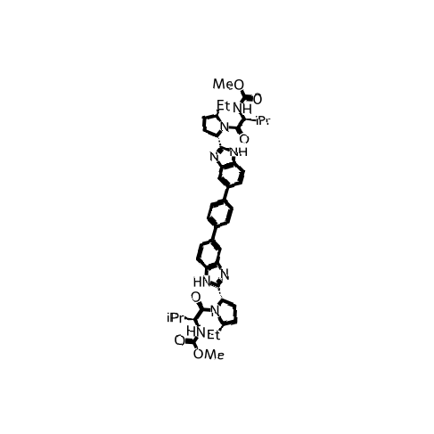 CC[C@@H]1CC[C@@H](c2nc3cc(-c4ccc(-c5ccc6[nH]c([C@@H]7CC[C@@H](CC)N7C(=O)[C@@H](NC(=O)OC)C(C)C)nc6c5)cc4)ccc3[nH]2)N1C(=O)[C@@H](NC(=O)OC)C(C)C